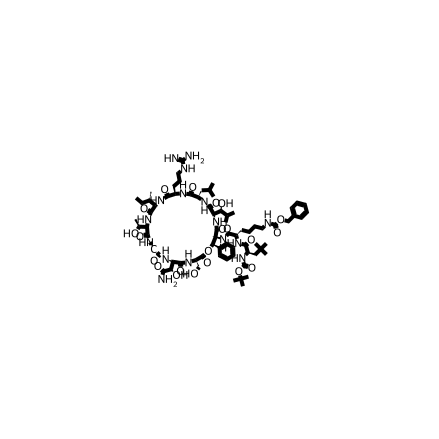 CC[C@H](C)C1NC(=O)[C@@H](CCCNC(=N)N)NC(=O)[C@H](CC(C)C)NC(=O)[C@H]([C@H](O)C(C)C)NC(=O)[C@@H](NC(=O)[C@H](CCCCNC(=O)OCc2ccccc2)NC(=O)[C@@H](CC(C)(C)C)NC(=O)OC(C)(C)C)[C@@H](c2ccccc2)OC(=O)[C@H](CO)NC(=O)[C@H]([C@H](O)C(N)=O)NC(=O)CNC(=O)C([C@H](C)O)NC1=O